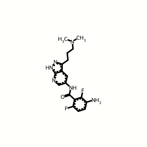 CN(C)CCCc1n[nH]c2ncc(NC(=O)c3c(F)ccc(N)c3F)cc12